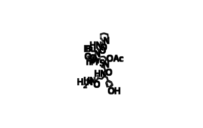 CCCC(=O)OCN(C(=O)[C@@H](NC(=O)[C@H]1CCCCCN1C)C(C)CC)[C@H](C[C@@H](OC(C)=O)c1nc(C(=O)N[C@@H](Cc2ccc(O)cc2)C[C@H](C)C(=O)NN)cs1)C(C)C